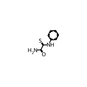 NC(=O)C(=S)Nc1ccccc1